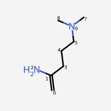 C=C(N)CCCN(C)C